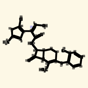 Nc1nc(/C(=N/O)C(=O)NC2C(=O)N3C(C(=O)O)=C(Sc4ccncc4Cl)CCC23)c(Cl)s1